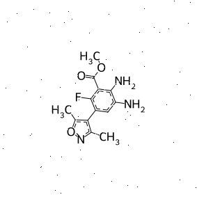 COC(=O)c1c(N)c(N)cc(-c2c(C)noc2C)c1F